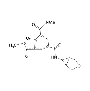 CNC(=O)c1cc(C(=O)NC2C3COCC32)cc2c(Br)c(C)oc12